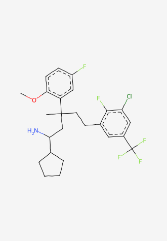 COc1ccc(F)cc1C(C)(CCc1cc(C(F)(F)F)cc(Cl)c1F)CC(N)C1CCCC1